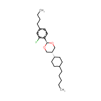 CCCCCC1CCC([C@H]2CO[C@H](c3ccc(CCCC)cc3F)OC2)CC1